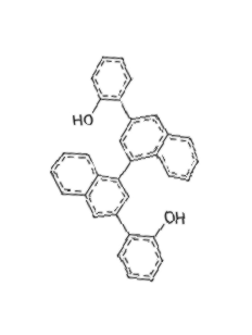 Oc1ccccc1-c1cc(-c2cc(-c3ccccc3O)cc3ccccc23)c2ccccc2c1